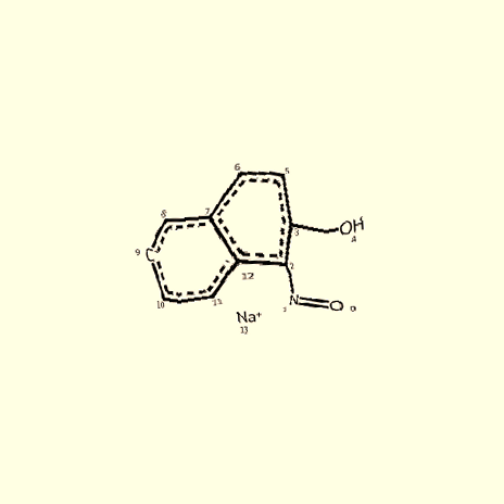 O=Nc1c(O)ccc2c[c-]ccc12.[Na+]